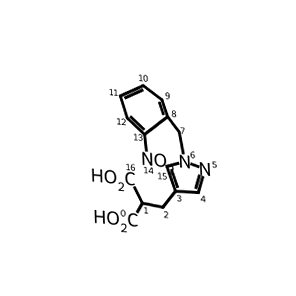 O=C(O)C(Cc1cnn(Cc2ccccc2[N+](=O)[O-])c1)C(=O)O